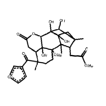 COC(=O)CC1C2(C)CC3(O)C(O)(C2O)C2OC(=O)CC4C(C)(C(=O)c5ccoc5)CCC(OC)(C42O)C13C